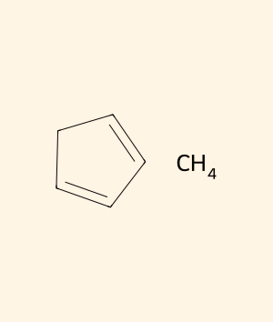 C.C1=CCC=C1